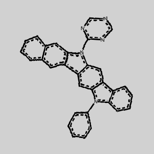 c1ccc(-n2c3ccccc3c3cc4c(cc32)c2cc3ccccc3cc2n4-c2ncncn2)cc1